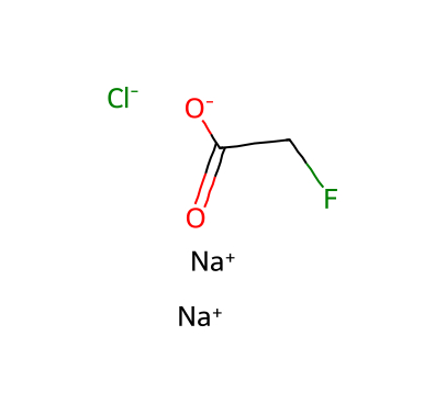 O=C([O-])CF.[Cl-].[Na+].[Na+]